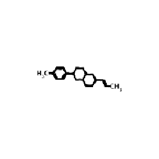 CC=CC1CCC2CC(c3ccc(C)cc3)CCC2C1